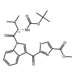 COC(=O)c1csc(C(=O)c2cn(C(=O)[C@@H](NC(=O)OC(C)(C)C)C(C)C)c3ccccc23)n1